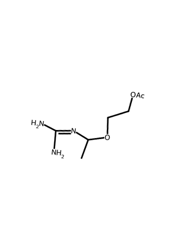 CC(=O)OCCOC(C)N=C(N)N